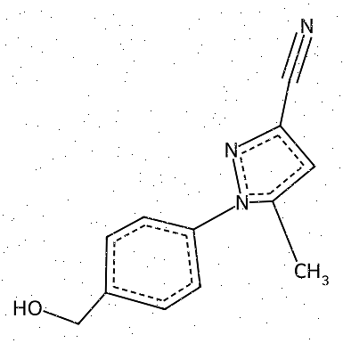 Cc1cc(C#N)nn1-c1ccc(CO)cc1